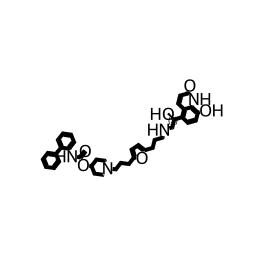 O=C(Nc1ccccc1-c1ccccc1)OC1CCN(CCCc2ccc(CCCNC[C@@H](O)c3ccc(O)c4[nH]c(=O)ccc34)o2)CC1